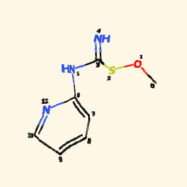 COSC(=N)Nc1ccccn1